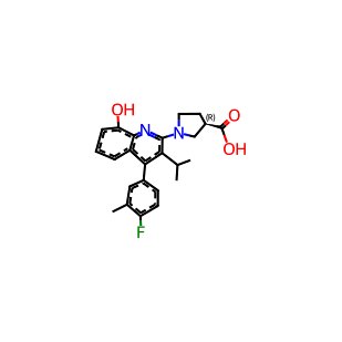 Cc1cc(-c2c(C(C)C)c(N3CC[C@@H](C(=O)O)C3)nc3c(O)cccc23)ccc1F